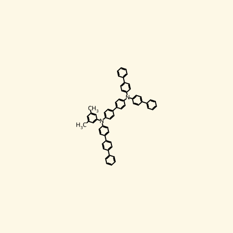 Cc1cc(C)cc(N(c2ccc(-c3ccc(-c4ccccc4)cc3)cc2)c2ccc(-c3ccc(N(c4ccc(-c5ccccc5)cc4)c4ccc(-c5ccccc5)cc4)cc3)cc2)c1